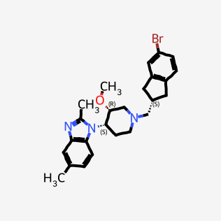 CO[C@@H]1CN(C[C@H]2Cc3ccc(Br)cc3C2)CC[C@@H]1n1c(C)nc2cc(C)ccc21